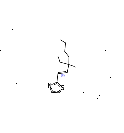 CCCCC(C)(/C=C/c1nccs1)CC